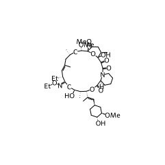 CCO/N=C1/C[C@H](O)[C@@H](C)[C@@H](/C(C)=C/[C@@H]2CC[C@@H](O)[C@H](OC)C2)OC(=O)[C@@H]2CCCCN2C(=O)C(=O)[C@]2(O)O[C@H]([C@@H](OC)C[C@@H](C)C/C(C)=C/[C@H]1CC)[C@@H](OC)C[C@H]2C